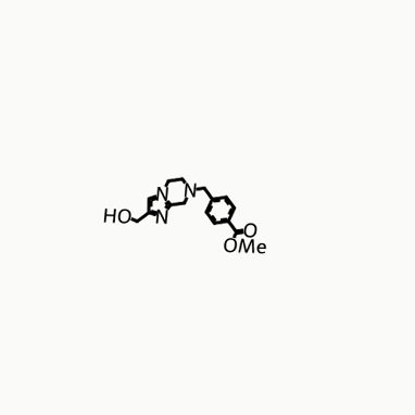 COC(=O)c1ccc(CN2CCn3cc(CO)nc3C2)cc1